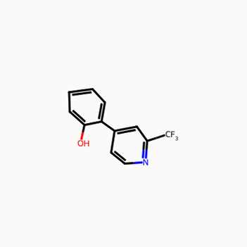 Oc1ccccc1-c1ccnc(C(F)(F)F)c1